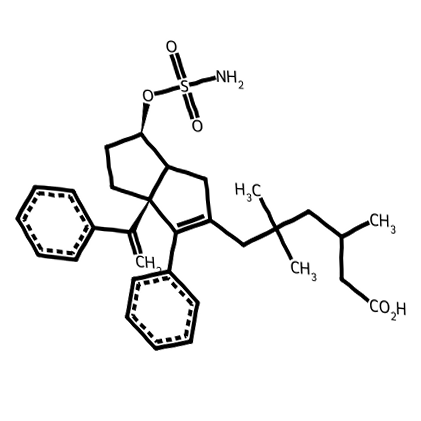 C=C(c1ccccc1)[C@@]12CC[C@@H](OS(N)(=O)=O)C1CC(CC(C)(C)CC(C)CC(=O)O)=C2c1ccccc1